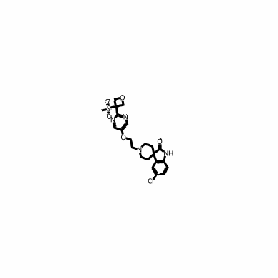 CS(=O)(=O)C1(c2ncc(OCCN3CCC4(CC3)C(=O)Nc3ccc(Cl)cc34)cn2)COC1